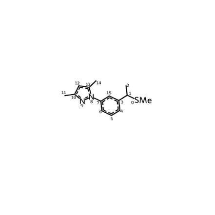 CSC(C)c1cccc(-n2nc(C)cc2C)c1